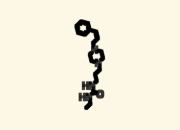 CCNC(=O)NCCCN1CCN(C/C=C\c2ccccc2)CC1